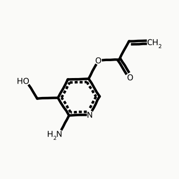 C=CC(=O)Oc1cnc(N)c(CO)c1